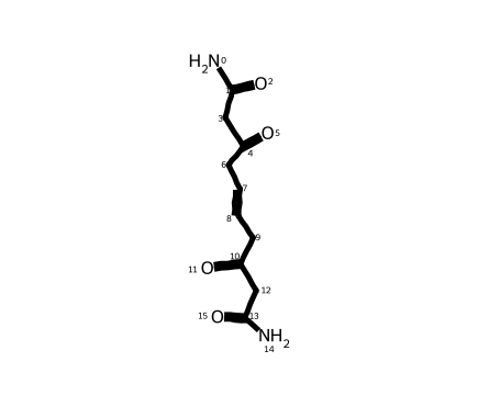 NC(=O)CC(=O)C/C=C/CC(=O)CC(N)=O